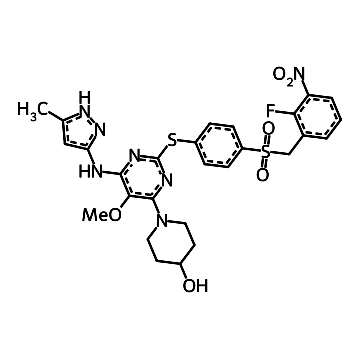 COc1c(Nc2cc(C)[nH]n2)nc(Sc2ccc(S(=O)(=O)Cc3cccc([N+](=O)[O-])c3F)cc2)nc1N1CCC(O)CC1